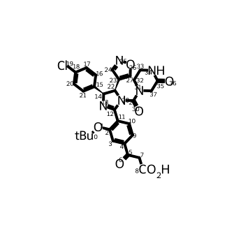 CC(C)(C)Oc1cc(C(=O)CC(=O)O)ccc1C1=N[C@@H](c2ccc(Cl)cc2)[C@@H](c2cnoc2)N1C(=O)N1CCNC(=O)C1